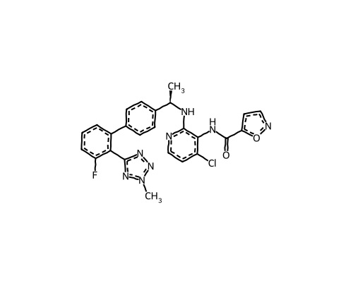 C[C@@H](Nc1nccc(Cl)c1NC(=O)c1ccno1)c1ccc(-c2cccc(F)c2-c2nnn(C)n2)cc1